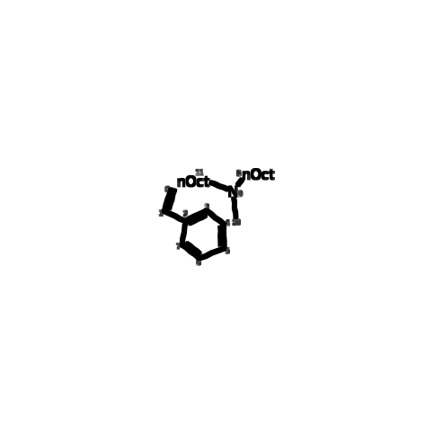 C=Cc1ccccc1.CCCCCCCCN(C)CCCCCCCC